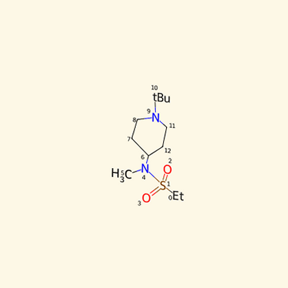 CCS(=O)(=O)N(C)C1CCN(C(C)(C)C)CC1